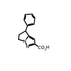 O=C(O)c1cc2n(n1)CCC2c1ccccc1